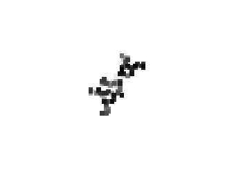 COc1cc(O)c(C(=O)NCc2ccc(O)c(OC)c2)c(OC)c1